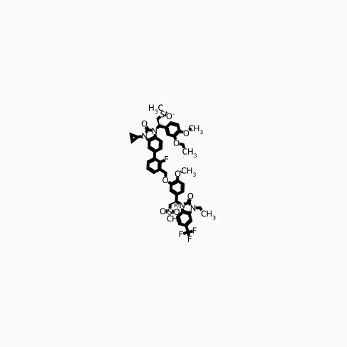 CCOc1cc([C@H](C[S+](C)[O-])n2c(=O)n(C3CC3)c3cc(-c4cccc(COc5cc([C@H](CS(C)(=O)=O)n6c(=O)n(CC)c7cc(C(F)(F)F)ccc76)ccc5OC)c4F)ccc32)ccc1OC